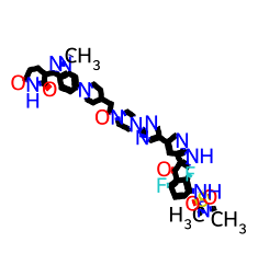 CCN(C)S(=O)(=O)Nc1ccc(F)c(C(=O)c2c[nH]c3ncc(-c4cnc(N5CCN(C(=O)CC6CCN(c7ccc8c(C9CCC(=O)NC9=O)nn(C)c8c7)CC6)CC5)nc4)cc23)c1F